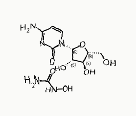 NC(=O)NO.Nc1ccn([C@@H]2O[C@H](CO)[C@@H](O)[C@@H]2O)c(=O)n1